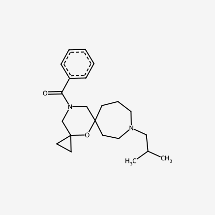 CC(C)CN1CCCC2(CC1)CN(C(=O)c1ccccc1)CC1(CC1)O2